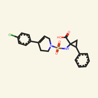 O=C(O)C1(NS(=O)(=O)N2CC=C(c3ccc(Cl)cc3)CC2)CC1c1ccccc1